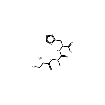 C[C@@H](NC(=O)[C@@H](N)CS)C(=O)N[C@@H](Cc1c[nH]cn1)C(=O)O